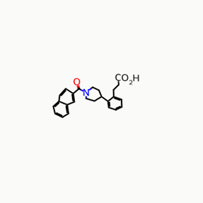 O=C(O)CCc1ccccc1C1CCN(C(=O)c2ccc3ccccc3c2)CC1